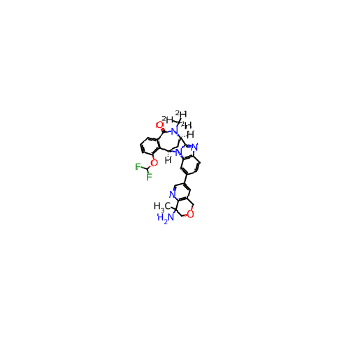 [2H]C([2H])([2H])N1C(=O)c2cccc(OC(F)F)c2[C@H]2C[C@@H]1c1nc3ccc(-c4cnc5c(c4)COCC5(C)N)cc3n12